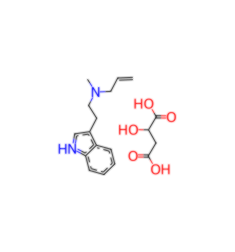 C=CCN(C)CCc1c[nH]c2ccccc12.O=C(O)CC(O)C(=O)O